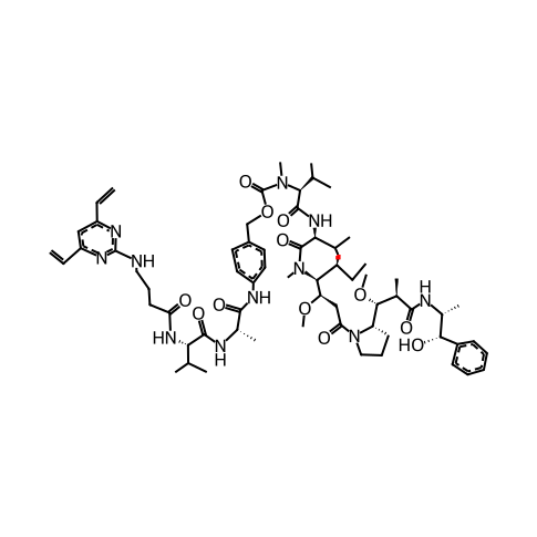 C=Cc1cc(C=C)nc(NCCCC(=O)N[C@H](C(=O)N[C@@H](C)C(=O)Nc2ccc(COC(=O)N(C)[C@H](C(=O)N[C@H](C(=O)N(C)[C@@H]([C@@H](C)CC)[C@@H](CC(=O)N3CCC[C@H]3[C@H](OC)[C@@H](C)C(=O)N[C@H](C)[C@@H](O)c3ccccc3)OC)C(C)C)C(C)C)cc2)C(C)C)n1